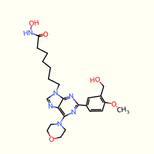 COc1ccc(-c2nc(N3CCOCC3)c3ncn(CCCCCCC(=O)NO)c3n2)cc1CO